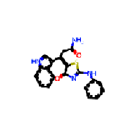 NC(=O)CC(=C1SC(Nc2cc[c]cc2)=NC1=O)c1c[nH]c2ccccc12